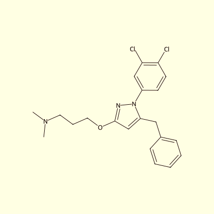 CN(C)CCCOc1cc(Cc2ccccc2)n(-c2ccc(Cl)c(Cl)c2)n1